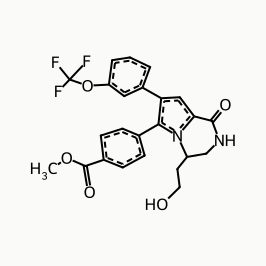 COC(=O)c1ccc(-c2c(-c3cccc(OC(F)(F)F)c3)cc3n2C(CCO)CNC3=O)cc1